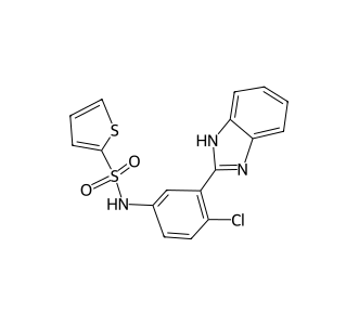 O=S(=O)(Nc1ccc(Cl)c(-c2nc3ccccc3[nH]2)c1)c1cccs1